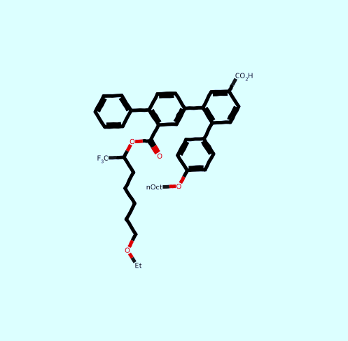 CCCCCCCCOc1ccc(-c2ccc(C(=O)O)cc2-c2ccc(-c3ccccc3)c(C(=O)OC(CCCCCOCC)C(F)(F)F)c2)cc1